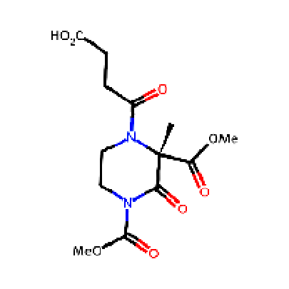 COC(=O)N1CCN(C(=O)CCC(=O)O)[C@](C)(C(=O)OC)C1=O